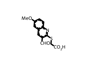 COc1ccc2nc(SCC(=O)O)c(C=O)cc2c1